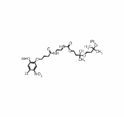 CCc1cc(OC)c(OCCCC(=O)NCCNC(=O)OCCC(C)(C)OCCC(C)(C)OC(C)C)cc1[N+](=O)[O-]